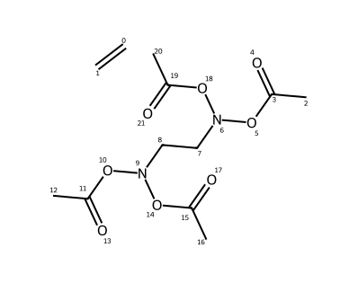 C=C.CC(=O)ON(CCN(OC(C)=O)OC(C)=O)OC(C)=O